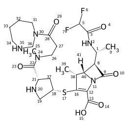 C[C@@H](NC(=O)C(F)F)[C@H]1C(=O)N2C(C(=O)O)=C(S[C@@H]3CN[C@H](C(=O)N(C)CCC(=O)N4CCCCNC4)C3)[C@H](C)[C@H]12